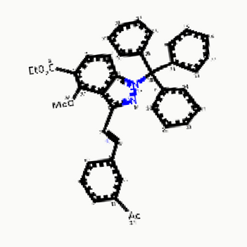 CCOC(=O)c1ccc2c(c(/C=C/c3cccc(C(C)=O)c3)nn2C(c2ccccc2)(c2ccccc2)c2ccccc2)c1OC